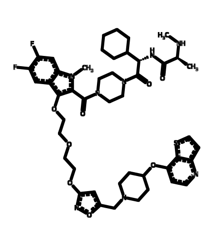 CN[C@@H](C)C(=O)N[C@H](C(=O)N1CCN(C(=O)c2c(OCCOCCOc3cc(CN4CCC(Oc5ccnc6ccsc56)CC4)on3)c3cc(F)c(F)cc3n2C)CC1)C1CCCCC1